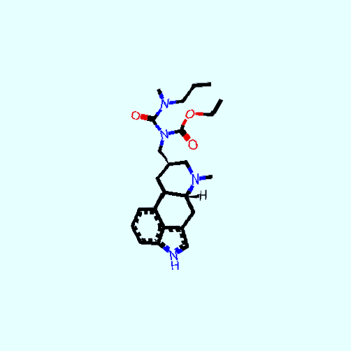 CCCN(C)C(=O)N(C[C@@H]1CC2c3cccc4[nH]cc(c34)C[C@H]2N(C)C1)C(=O)OCC